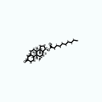 CCCCCCCCCC(=O)O[C@H]1CC[C@H]2[C@@H]3CCC4=CC(=O)CC[C@]4(C)[C@H]3[C@@H](F)C[C@]12C